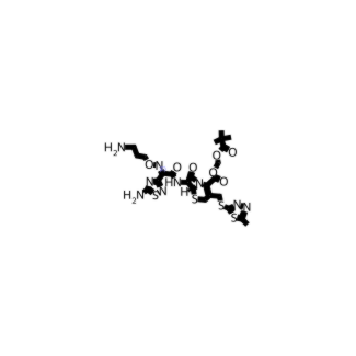 Cc1nnc(SCC2=C(C(=O)OCOC(=O)C(C)(C)C)N3C(=O)C(NC(=O)/C(=N/OCCCN)c4nsc(N)n4)[C@H]3SC2)s1